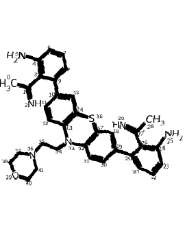 CC(=N)c1c(N)cccc1-c1ccc2c(c1)Sc1cc(-c3cccc(N)c3C(C)=N)ccc1N2CCN1CCOCC1